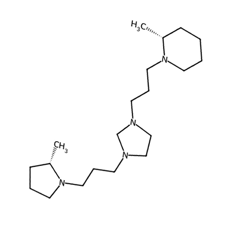 C[C@@H]1CCCCN1CCCN1CCN(CCCN2CCC[C@@H]2C)C1